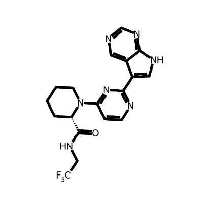 O=C(NCC(F)(F)F)[C@@H]1CCCCN1c1ccnc(-c2c[nH]c3ncncc23)n1